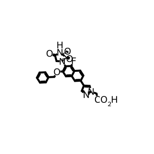 O=C(O)Cn1cc(-c2ccc3c(F)c(N4CC(=O)NS4(=O)=O)c(OCc4ccccc4)cc3c2)cn1